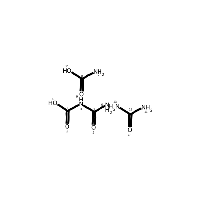 NC(=O)NC(=O)O.NC(=O)O.NC(N)=O